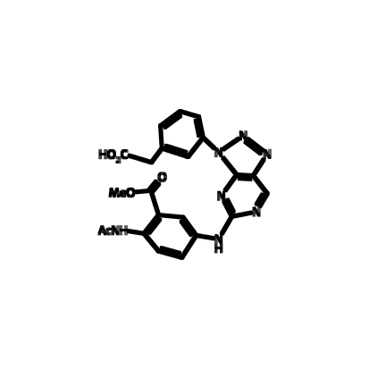 COC(=O)c1cc(Nc2ncc3nnn(-c4cccc(CC(=O)O)c4)c3n2)ccc1NC(C)=O